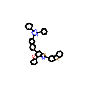 c1ccc(-c2nc(-c3ccccc3)nc(-c3ccc4ccc(-c5cc6sc(-c7ccc8sc9ccccc9c8c7)nc6c6c5oc5ccccc56)cc4c3)n2)cc1